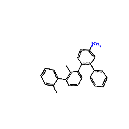 Cc1ccccc1-c1cccc(-c2ccc(N)cc2-c2ccccc2)c1C